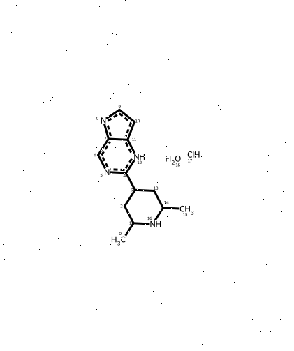 CC1CC(c2ncc3nccc-3[nH]2)CC(C)N1.Cl.O